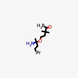 BC(=O)C(C)(C)CCOC(C)(N)CCC(C)C